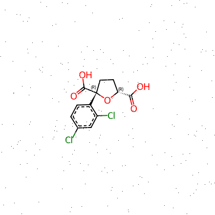 O=C(O)[C@H]1CC[C@](C(=O)O)(c2ccc(Cl)cc2Cl)O1